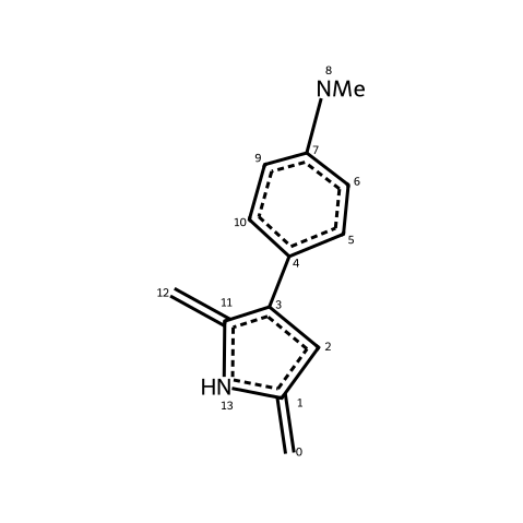 C=c1cc(-c2ccc(NC)cc2)c(=C)[nH]1